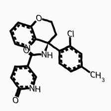 Cc1ccc([C@@]2(NC(=O)c3ccc(=O)[nH]c3)CCOc3cccnc32)c(Cl)c1